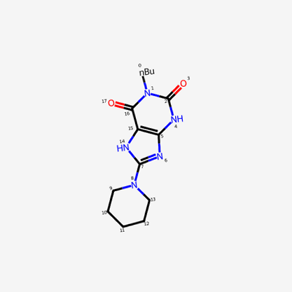 CCCCn1c(=O)[nH]c2nc(N3CCCCC3)[nH]c2c1=O